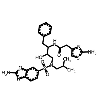 CC(C)CN(CC(O)C(Cc1ccccc1)NC(=O)Cc1csc(N)n1)S(=O)(=O)c1ccc2nc(N)oc2c1